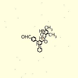 Cc1cc(C)c(CNC(=O)c2cc(-c3ccc(C=O)cc3)nc(N3CCCCC3)c2)c(=O)[nH]1